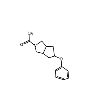 O=C(O)N1CC2CC(Oc3ccccc3)CC2C1